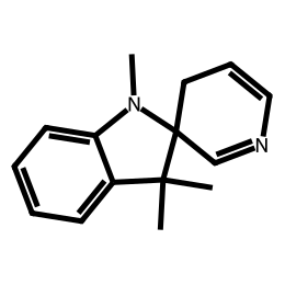 CN1c2ccccc2C(C)(C)C12C=NC=CC2